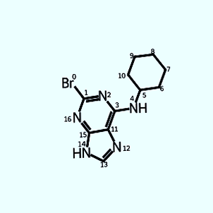 Brc1nc(NC2CCCCC2)c2nc[nH]c2n1